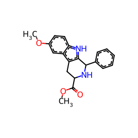 COC(=O)C1Cc2c([nH]c3ccc(OC)cc23)C(c2ccccc2)N1